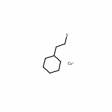 [Cu+].[S-]CCC1CCCCC1